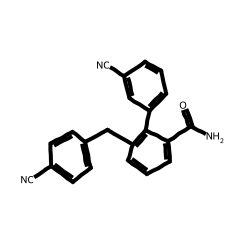 N#Cc1ccc(Cc2cccc(C(N)=O)c2-c2cccc(C#N)c2)cc1